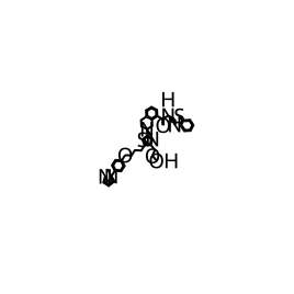 O=C(Nc1nc2ccccc2s1)c1cccc2c1CN(c1nc(COO)c(CCCOc3ccc(-n4cccn4)cc3)s1)CC2